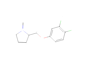 CN1CCCC1COc1ccc(Cl)c(Cl)c1